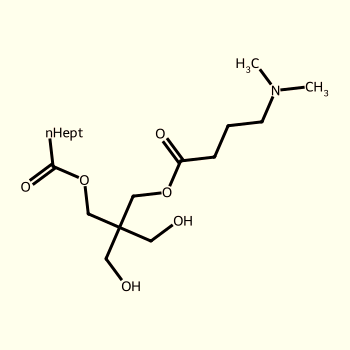 CCCCCCCC(=O)OCC(CO)(CO)COC(=O)CCCN(C)C